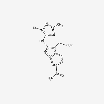 CCOC(=O)Cn1c(Nc2cc(C)nn2CC)nc2cc(C(N)=O)ccc21